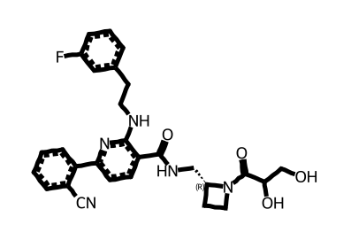 N#Cc1ccccc1-c1ccc(C(=O)NC[C@H]2CCN2C(=O)C(O)CO)c(NCCc2cccc(F)c2)n1